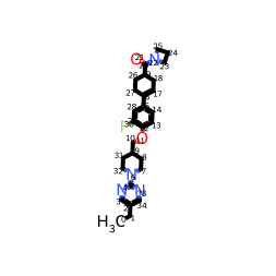 CCc1cnc(N2CCC(COc3ccc(C4=CCC(C(=O)N5CCC5)CC4)cc3F)CC2)nc1